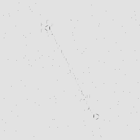 O=C(CCCC(=O)OCc1ccccc1)NCCOCCOCCOCCOCCOCCOCCOCCOCCC(=O)Oc1c(F)c(F)c(F)c(F)c1F